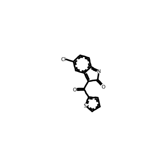 O=C1N=c2ccc(Cl)cc2=C1C(=O)c1cccs1